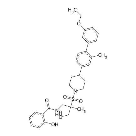 CCOc1cccc(-c2ccc(C3CCN(S(=O)(=O)C(C)(CO)CNC(=O)c4ccccc4O)CC3)cc2C)c1